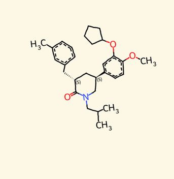 COc1ccc([C@@H]2C[C@@H](Cc3cccc(C)c3)C(=O)N(CC(C)C)C2)cc1OC1CCCC1